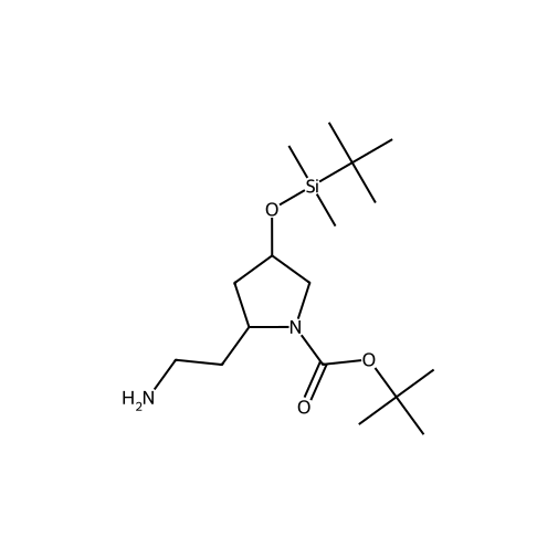 CC(C)(C)OC(=O)N1CC(O[Si](C)(C)C(C)(C)C)CC1CCN